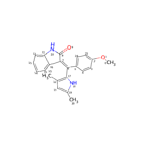 COc1ccc(C(=C2C(=O)Nc3ccccc32)c2[nH]c(C)cc2C)cc1